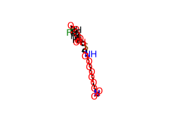 C[C@]12C[C@@H]3O[C@]45C=CC(=O)C=C4[C@@H](F)C[C@@H](C1C[C@H]1O[C@@H](c4ccc(Sc6cccc(NC(=O)CCOCCOCCOCCOCCOCCOCCN7C(=O)C=CC7=O)c6)cc4)O[C@]12C(=O)CO)[C@]35F